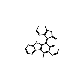 C=C1CC(C)=C(/C=C\C)/C1=c1/c(=C)c(/C=C\C)c(C)c2c1oc1ccccc12